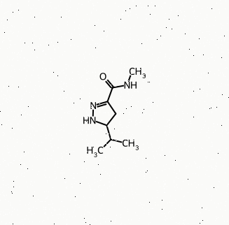 CNC(=O)C1=NNC(C(C)C)C1